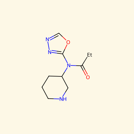 CCC(=O)N(c1nnco1)C1CCCNC1